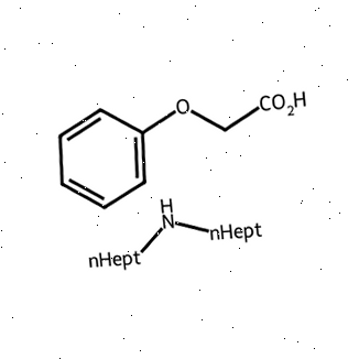 CCCCCCCNCCCCCCC.O=C(O)COc1ccccc1